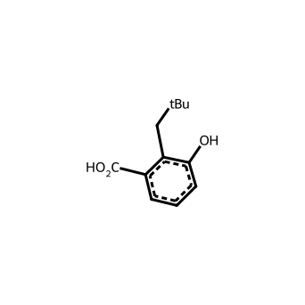 CC(C)(C)Cc1c(O)cccc1C(=O)O